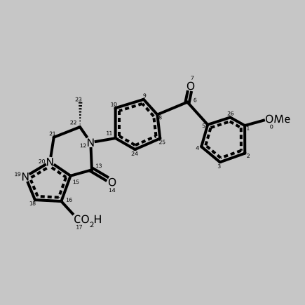 COc1cccc(C(=O)c2ccc(N3C(=O)c4c(C(=O)O)cnn4C[C@@H]3C)cc2)c1